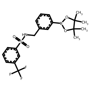 CC1(C)OB(c2cccc(CNS(=O)(=O)c3cccc(C(F)(F)F)c3)c2)OC1(C)C